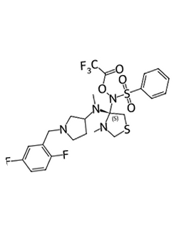 CN1CSC[C@@]1(N(C)C1CCN(Cc2cc(F)ccc2F)C1)N(OC(=O)C(F)(F)F)S(=O)(=O)c1ccccc1